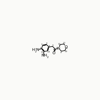 Nc1ccc(CC(=O)N2CCOCC2)cc1N